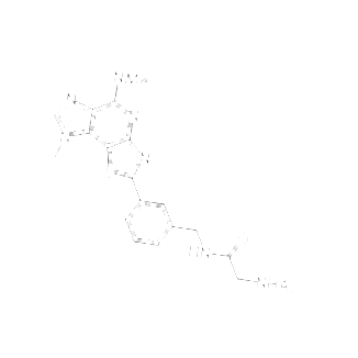 CNc1nc2nc(-c3cccc(CNC(=O)CNC(C)=O)c3)sc2c2c1ncn2C